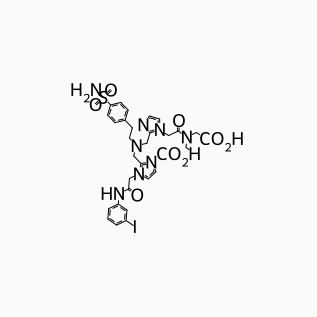 NS(=O)(=O)c1ccc(CCN(Cc2nccn2CC(=O)Nc2cccc(I)c2)Cc2nccn2CC(=O)N(CC(=O)O)CC(=O)O)cc1